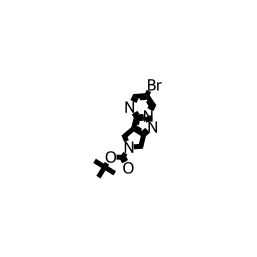 CC(C)(C)OC(=O)N1Cc2nn3cc(Br)cnc3c2C1